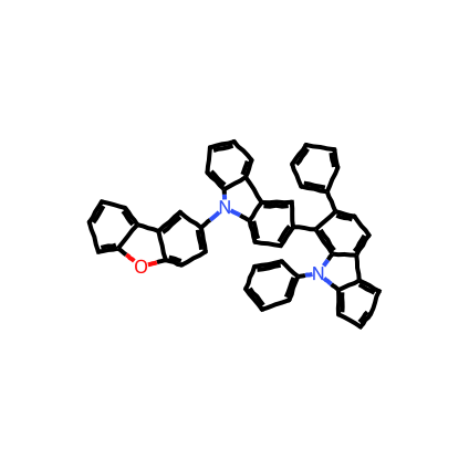 c1ccc(-c2ccc3c4ccccc4n(-c4ccccc4)c3c2-c2ccc3c(c2)c2ccccc2n3-c2ccc3oc4ccccc4c3c2)cc1